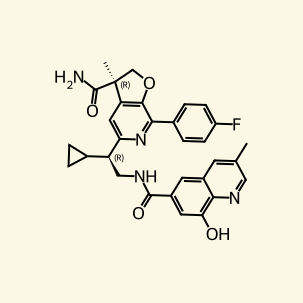 Cc1cnc2c(O)cc(C(=O)NC[C@H](c3cc4c(c(-c5ccc(F)cc5)n3)OC[C@]4(C)C(N)=O)C3CC3)cc2c1